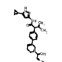 C=CC(O)N1CCC=C(c2ccc(C(C(=O)Nc3cc(C4CC4)[nH]n3)C(C)C)cc2)C1